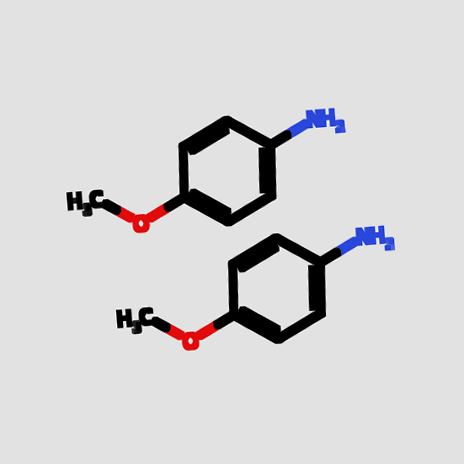 COc1ccc(N)cc1.COc1ccc(N)cc1